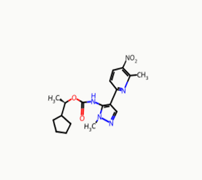 Cc1nc(-c2cnn(C)c2NC(=O)O[C@H](C)C2CCCC2)ccc1[N+](=O)[O-]